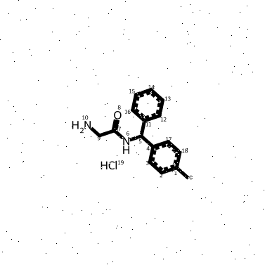 Cc1ccc(C(NC(=O)CN)c2ccccc2)cc1.Cl